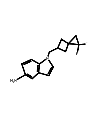 Nc1ccc2c(ccn2CC2CC3(C2)CC3(F)F)c1